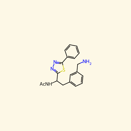 CC(=O)NC(Cc1cccc(CN)c1)c1nnc(-c2ccccc2)s1